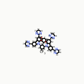 N#Cc1cccc(-c2c(-n3c4ccc(-c5ncccn5)cc4c4cc(-c5ncccn5)ccc43)cc(C(F)(F)F)cc2-n2c3ccc(-c4ncccn4)cc3c3cc(-c4ncccn4)ccc32)c1